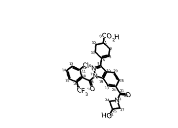 O=C(O)C1CC=C(c2nn(C(=O)c3c(Cl)cccc3C(F)(F)F)c3cc(C(=O)N4CC(O)C4)ccc23)CC1